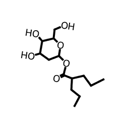 CCCC(CCC)C(=O)OC1CC(O)C(O)C(CO)O1